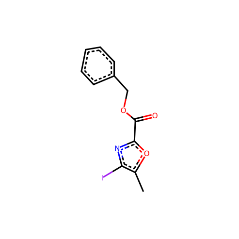 Cc1oc(C(=O)OCc2ccccc2)nc1I